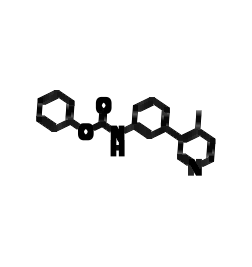 Cc1ccncc1-c1cccc(NC(=O)Oc2ccccc2)c1